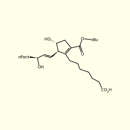 CCCCC[C@H](O)/C=C/[C@@H]1C(CCCCCCC(=O)O)=C(C(=O)OCCCC)C[C@H]1O